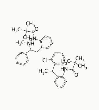 CC(c1ccccc1Cl)c1ccccc1NC(=O)C(C)(C)C.CNC(Cc1ccccc1NC(=O)C(C)(C)C)c1ccccc1